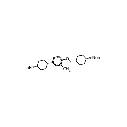 CCCCCCCCC[C@H]1CC[C@H](COc2ccc([C@H]3CC[C@H](CCC)CC3)cc2C)CC1